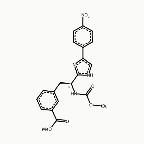 COC(=O)c1cccc(C[C@H](NC(=O)OC(C)(C)C)c2nc(-c3ccc([N+](=O)[O-])cc3)c[nH]2)c1